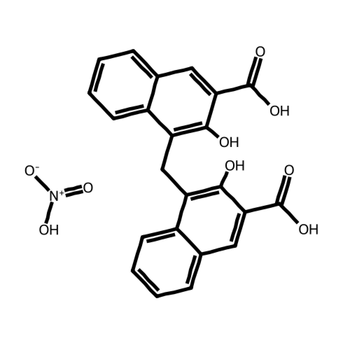 O=C(O)c1cc2ccccc2c(Cc2c(O)c(C(=O)O)cc3ccccc23)c1O.O=[N+]([O-])O